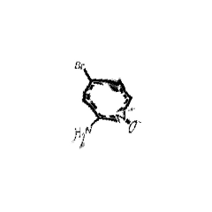 Nc1cc(Br)cc[n+]1[O-]